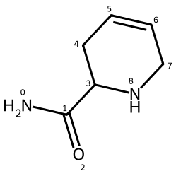 NC(=O)C1CC=CCN1